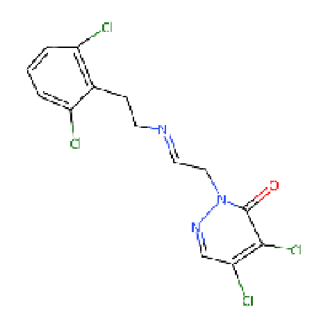 O=c1c(Cl)c(Cl)cnn1C/C=N/CCc1c(Cl)cccc1Cl